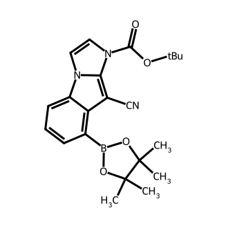 CC(C)(C)OC(=O)n1ccn2c3cccc(B4OC(C)(C)C(C)(C)O4)c3c(C#N)c12